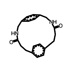 O=C1CCc2ccc(cc2)CCC(=O)NCc2ccc(cc2)CN1